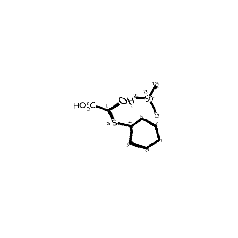 O=C(O)C(O)SC1CCCCC1.[CH3][Sn]([CH3])[CH3]